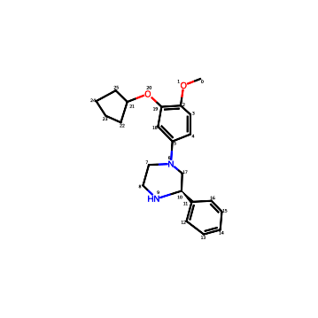 COc1ccc(N2CCN[C@H](c3ccccc3)C2)cc1OC1CCCC1